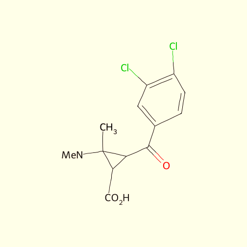 CNC1(C)C(C(=O)O)C1C(=O)c1ccc(Cl)c(Cl)c1